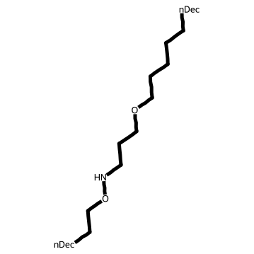 CCCCCCCCCCCCCCCOCCCNOCCCCCCCCCCCC